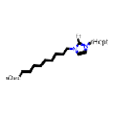 CCCCCCCCCCCCCCCCCCCN1C=CN(CCCCCCC)C1CC